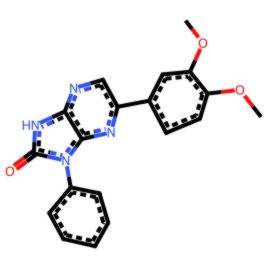 COc1ccc(-c2cnc3[nH]c(=O)n(-c4ccccc4)c3n2)cc1OC